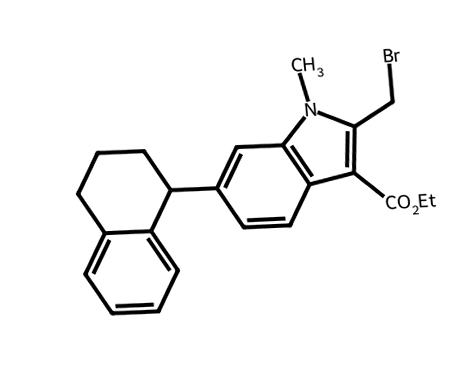 CCOC(=O)c1c(CBr)n(C)c2cc(C3CCCc4ccccc43)ccc12